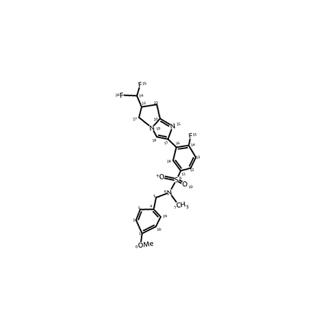 COc1ccc(CN(C)S(=O)(=O)c2ccc(F)c(-c3cn4c(n3)CC(C(F)F)C4)c2)cc1